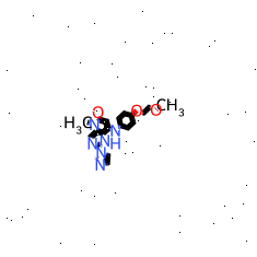 COCCOC1CCC(Nc2cc(=O)n(C)c3cnc(-n4ccnc4)nc23)CC1